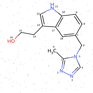 Cc1nncn1Cc1ccc2[nH]cc(CCO)c2c1